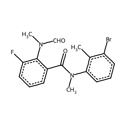 Cc1c(Br)cccc1N(C)C(=O)c1cccc(F)c1N(C)C=O